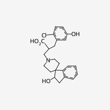 O=C(O)C(Cc1cc(O)ccc1Cl)CN1CCC2(CC1)c1ccccc1CC2O